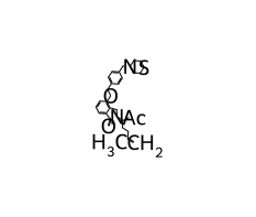 C=C(C)CCC(C(C)=O)N1Cc2c(OCc3ccc(CN4CCSCC4)cc3)cccc2C1=O